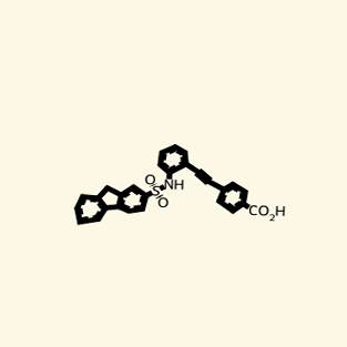 O=C(O)c1ccc(C#Cc2ccccc2NS(=O)(=O)c2ccc3c(c2)Cc2ccccc2-3)cc1